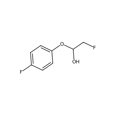 OC(CF)Oc1ccc(F)cc1